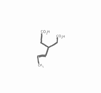 C/C=C/C(CC(=O)O)CC(=O)O